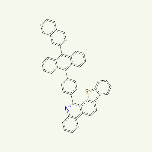 c1ccc2cc(-c3c4ccccc4c(-c4ccc(-c5nc6ccccc6c6ccc7c8ccccc8sc7c56)cc4)c4ccccc34)ccc2c1